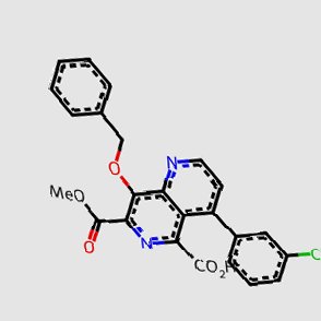 COC(=O)c1nc(C(=O)O)c2c(-c3cccc(Cl)c3)ccnc2c1OCc1ccccc1